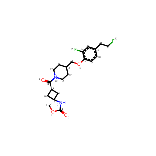 O=C1N[C@]2(CO1)C[C@H](C(=O)N1CCC(COc3ccc(CCF)cc3F)CC1)C2